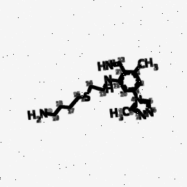 Cc1cc(-n2cnnc2C)cc(NCCSCCCCN)c1C=N